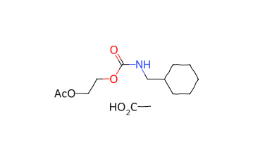 CC(=O)O.CC(=O)OCCOC(=O)NCC1CCCCC1